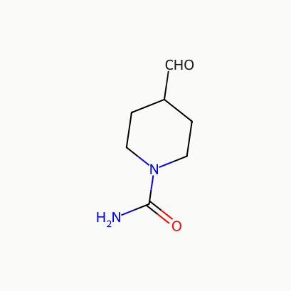 NC(=O)N1CCC(C=O)CC1